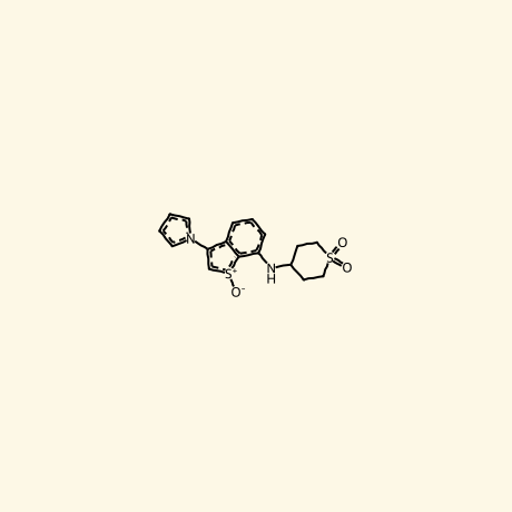 O=S1(=O)CCC(Nc2cccc3c(-n4cccc4)c[s+]([O-])c23)CC1